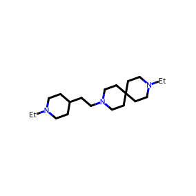 CCN1CCC(CCN2CCC3(CCN(CC)CC3)CC2)CC1